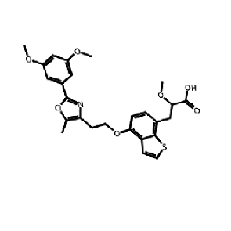 COc1cc(OC)cc(-c2nc(CCOc3ccc(CC(OC)C(=O)O)c4sccc34)c(C)o2)c1